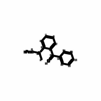 CCCCCN(C)c1ccccc1C(=O)c1ccccc1